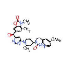 COc1ccc2c(c1)CCN(C1CCN(c3cc(C(=O)c4cc(C)c5c(c4)oc(=O)n5C)ncn3)C(C)C1)C(=O)N2